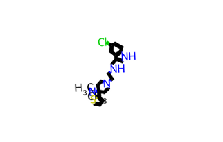 CN(C)C1(c2cccs2)CCN(CCNCc2c[nH]c3ccc(Cl)cc23)CC1